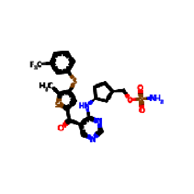 Cc1sc(C(=O)c2cncnc2N[C@H]2CC[C@@H](COS(N)(=O)=O)C2)cc1Sc1cccc(C(F)(F)F)c1